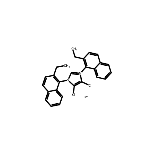 CCc1ccc2ccccc2c1-n1c[n+](-c2c(CC)ccc3ccccc23)c(Cl)c1Cl.[Br-]